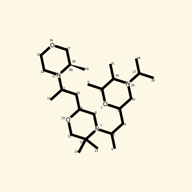 CC1OC(CC(C)N2CC(CC(C)N3CCOC[C@H]3C)OCC2(C)C)CN(C(C)C)C1C